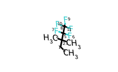 CCC(C)(C)C(F)(F)C(F)(F)F